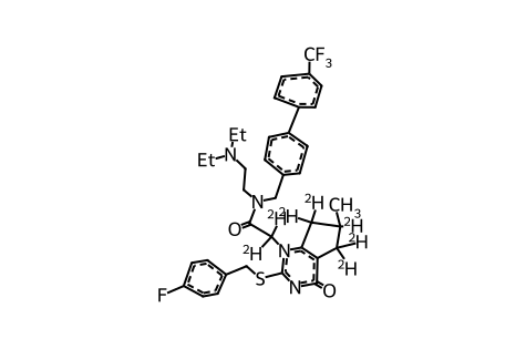 [2H]C([2H])(C(=O)N(CCN(CC)CC)Cc1ccc(-c2ccc(C(F)(F)F)cc2)cc1)n1c(SCc2ccc(F)cc2)nc(=O)c2c1C([2H])([2H])C([2H])(C)C2([2H])[2H]